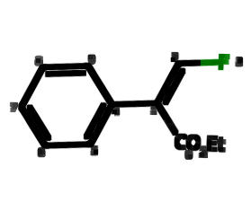 CCOC(=O)C(=CF)c1ccccc1